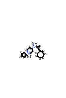 CCC1(N2CCC(N(C)[C@@H]3CC3C3CCCCCC3)CC2)CC=CC1